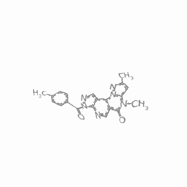 Cc1ccc(C(=O)n2ncc3c2ncc2c(=O)n(C)c4cc(C)nn4c23)cc1